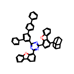 c1ccc(-c2ccc(-c3cc(-c4ccccc4)cc(-c4nc(-c5cccc6c5oc5ccccc56)nc(-c5ccc(C67CC8CC(CC(C8)C6)C7)c6c5oc5ccccc56)n4)c3)cc2)cc1